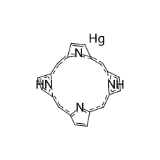 C1=Cc2cc3ccc(cc4nc(cc5ccc(cc1n2)[nH]5)C=C4)[nH]3.[Hg]